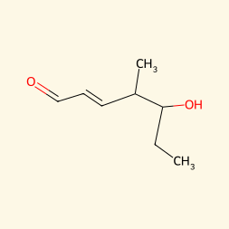 CCC(O)C(C)C=CC=O